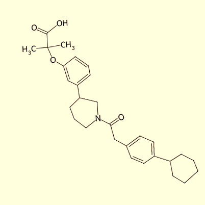 CC(C)(Oc1cccc(C2CCCN(C(=O)Cc3ccc(C4CCCCC4)cc3)C2)c1)C(=O)O